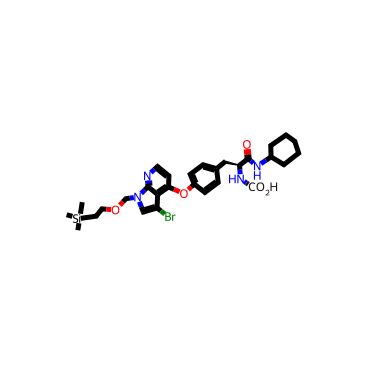 C[Si](C)(C)CCOCn1cc(Br)c2c(Oc3ccc(C[C@H](NC(=O)O)C(=O)NC4CCCCC4)cc3)ccnc21